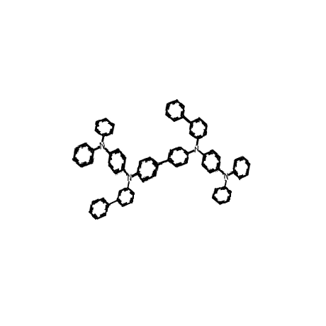 c1ccc(-c2cccc(N(c3ccc(-c4ccc(N(c5ccc(N(c6ccccc6)c6ccccc6)cc5)c5cccc(-c6ccccc6)c5)cc4)cc3)c3ccc(N(c4ccccc4)c4ccccc4)cc3)c2)cc1